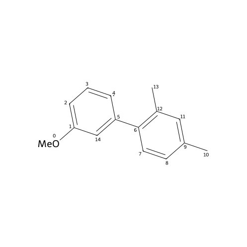 COc1cc[c]c(-c2ccc(C)cc2C)c1